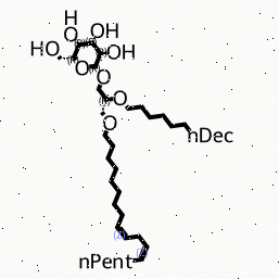 CCCCC/C=C\C/C=C\CCCCCCCCOC[C@H](CO[C@@H]1O[C@H](CO)[C@H](O)[C@H](O)[C@H]1O)OCCCCCCCCCCCCCCCC